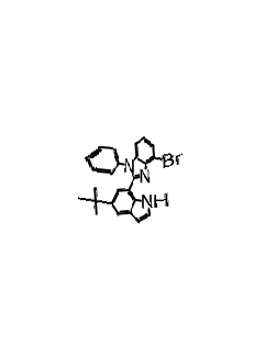 CC(C)(C)c1cc(-c2nc3c(Br)cccc3n2-c2ccccc2)c2[nH]ccc2c1